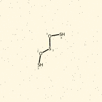 SOSOS